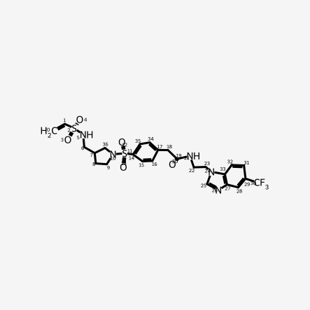 C=CS(=O)(=O)NCC1CCN(S(=O)(=O)c2ccc(CC(=O)NCCn3cnc4cc(C(F)(F)F)ccc43)cc2)C1